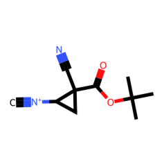 [C-]#[N+]C1CC1(C#N)C(=O)OC(C)(C)C